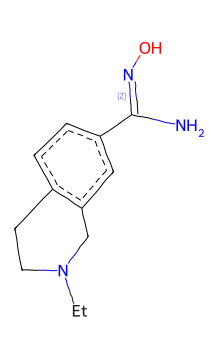 CCN1CCc2ccc(/C(N)=N/O)cc2C1